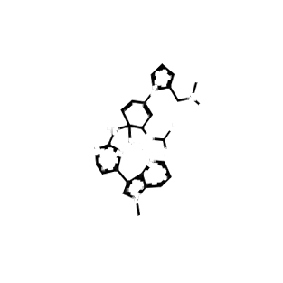 CN(C)Cc1cccn1C1=CC(OC(F)F)C(Nc2nccc(-c3cn(C)c4cccnc34)n2)([N+](=O)[O-])C=C1